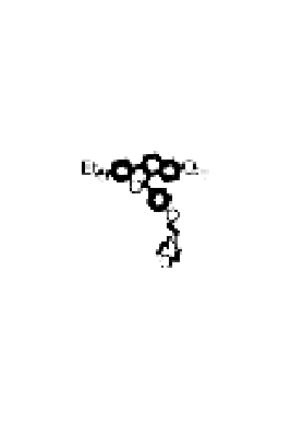 CCOc1ccc(C2=C(C(=O)c3ccc(OCCN4CCOCC4)cc3)c3ccc(OCC)cc3CC2)cc1